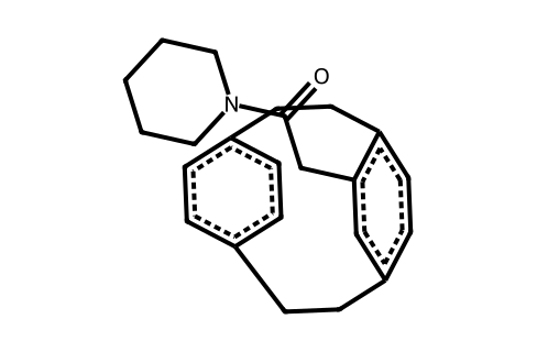 O=C(Cc1cc2ccc1CCc1ccc(cc1)CC2)N1CCCCC1